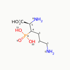 NCCCC([C@H](N)C(=O)O)P(=O)(O)O